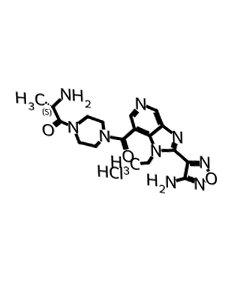 CCn1c(-c2nonc2N)nc2cncc(C(=O)N3CCN(C(=O)[C@H](C)N)CC3)c21.Cl